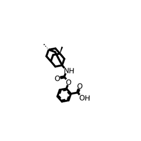 C[C@]12CC3CC(NC(=O)Oc4ccccc4C(=O)O)(C1)C[C@@](C)(C3)C2